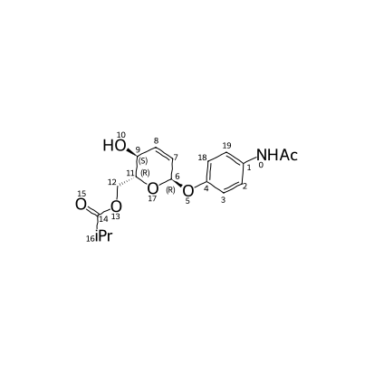 CC(=O)Nc1ccc(O[C@@H]2C=C[C@H](O)[C@@H](COC(=O)C(C)C)O2)cc1